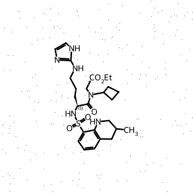 CCOC(=O)CN(C(=O)[C@H](CCCNc1ncc[nH]1)NS(=O)(=O)c1cccc2c1NCC(C)C2)C1CCC1